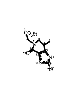 CCOC(=O)CN1CC(C)c2nc(Br)sc2C1=O